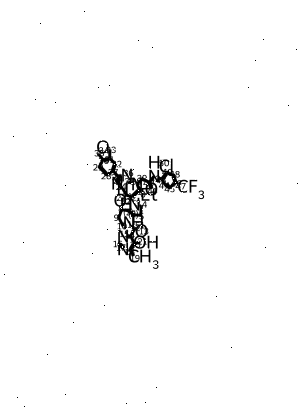 CCc1c(N2CC[C@@H]3[C@@H]2CCCN3C(=O)c2ncnc(C)c2O)c(=O)n2nc(-c3ccc4c(c3)COC4)nc2n1CC(=O)Nc1ccc(C(F)(F)F)cc1Cl